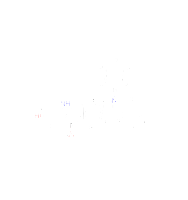 N[C@@H](CO)C(=O)c1ccc(N(c2ccccc2)c2ccccc2)cc1